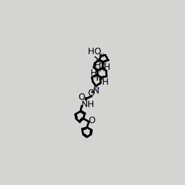 C[C@]12CC/C(=N\OCC(=O)NCc3cccc(C(=O)c4ccccc4)c3)C[C@@H]1CC[C@@H]1[C@@H]2CC[C@]2(C)[C@@H](O)CC[C@@H]12